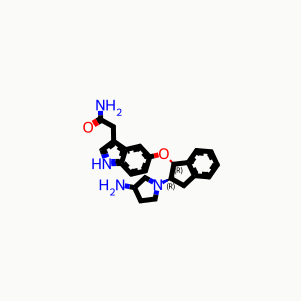 NC(=O)Cc1c[nH]c2ccc(O[C@@H]3c4ccccc4C[C@H]3N3CCC(N)C3)cc12